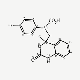 CC1(CN(C(=O)O)c2ccc(F)cc2)OC(=O)Nc2ccccc21